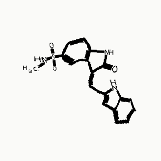 CNS(=O)(=O)c1ccc2c(c1)C(=Cc1cc3ccccc3[nH]1)C(=O)N2